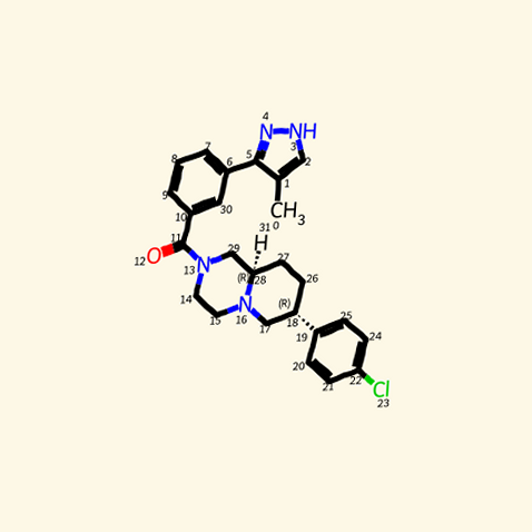 Cc1c[nH]nc1-c1cccc(C(=O)N2CCN3C[C@@H](c4ccc(Cl)cc4)CC[C@@H]3C2)c1